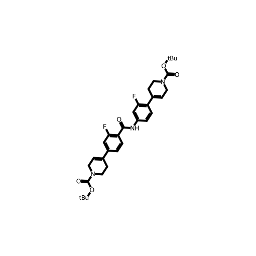 CC(C)(C)OC(=O)N1CC=C(c2ccc(C(=O)Nc3ccc(C4=CCN(C(=O)OC(C)(C)C)CC4)c(F)c3)c(F)c2)CC1